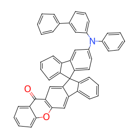 O=c1c2ccccc2oc2cc3c(cc12)C1(c2ccccc2-c2cc(N(c4ccccc4)c4cccc(-c5ccccc5)c4)ccc21)c1ccccc1-3